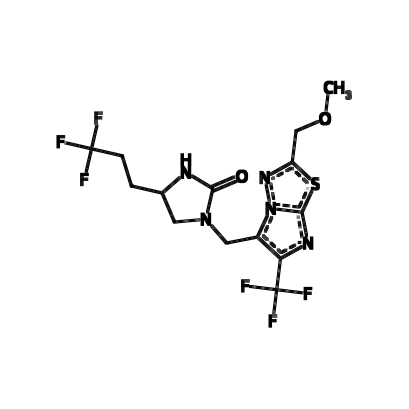 COCc1nn2c(CN3CC(CCC(F)(F)F)NC3=O)c(C(F)(F)F)nc2s1